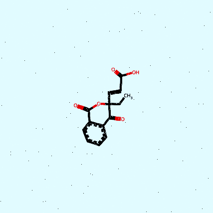 CCC1(C=CC(=O)O)OC(=O)c2ccccc2C1=O